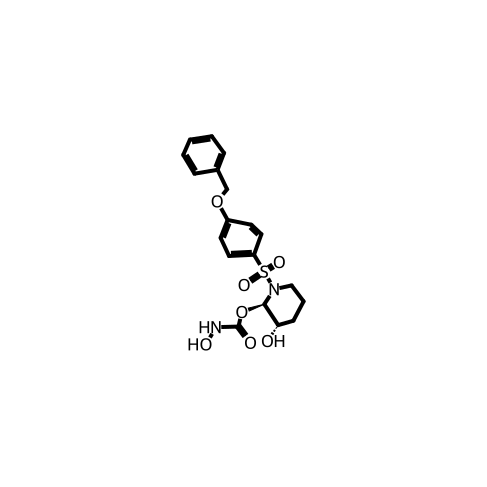 O=C(NO)O[C@@H]1[C@@H](O)CCCN1S(=O)(=O)c1ccc(OCc2ccccc2)cc1